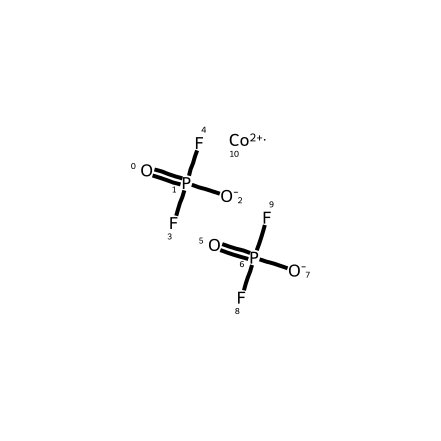 O=P([O-])(F)F.O=P([O-])(F)F.[Co+2]